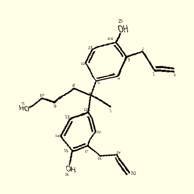 C=CCc1cc(C(C)(CCCO)c2ccc(O)c(CC=C)c2)ccc1O